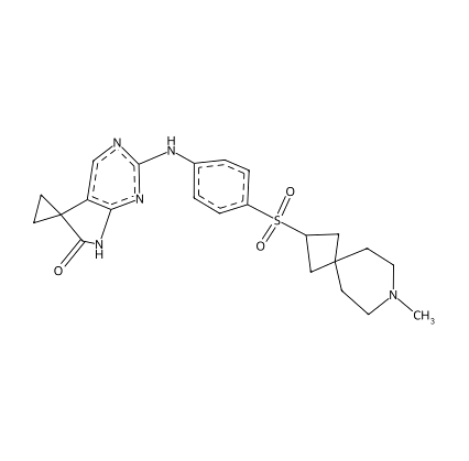 CN1CCC2(CC1)CC(S(=O)(=O)c1ccc(Nc3ncc4c(n3)NC(=O)C43CC3)cc1)C2